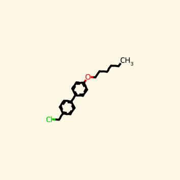 CCCCCCOc1ccc(-c2ccc(CCl)cc2)cc1